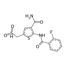 NC(=O)c1cc(C[SH](=O)=O)sc1NC(=O)c1ccccc1F